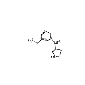 CCc1cncc(NC2CCNC2)c1